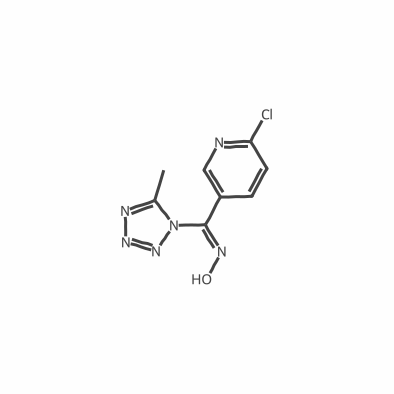 Cc1nnnn1C(=NO)c1ccc(Cl)nc1